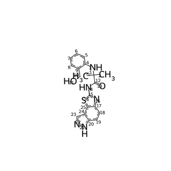 CC(C)(Nc1ccccc1CO)C(=O)Nc1nc2ccc3[nH]ncc3c2s1